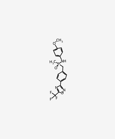 COc1ccc(NP(C)(=O)Cc2ccc(-c3noc(C(F)(F)F)n3)cc2)cc1